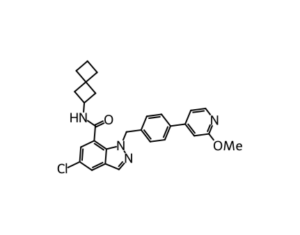 COc1cc(-c2ccc(Cn3ncc4cc(Cl)cc(C(=O)NC5CC6(CCC6)C5)c43)cc2)ccn1